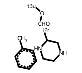 CC(C)(C)OC=O.CC(C)C1CNCCN1.Cc1ccccc1